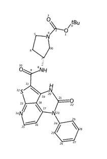 CC(C)(C)OC(=O)N1CC[C@@H](NC(=O)c2sc3nccc4c3c2NC(=O)N4c2ccccc2)C1